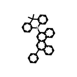 CC1(C)c2ccccc2N(c2cc3cc(-c4ccccc4)c4ccccc4c3c3ccccc23)c2ccccc21